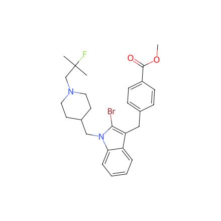 COC(=O)c1ccc(Cc2c(Br)n(CC3CCN(CC(C)(C)F)CC3)c3ccccc23)cc1